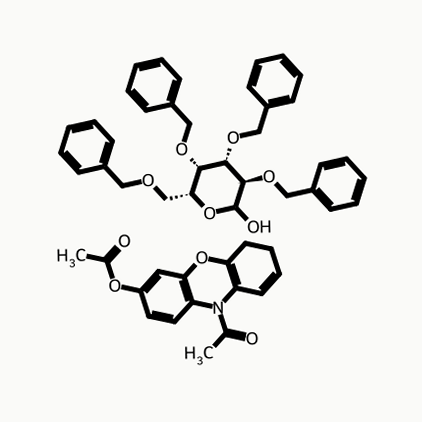 CC(=O)Oc1ccc2c(c1)OC1=C(C=CCC1)N2C(C)=O.OC1O[C@H](COCc2ccccc2)[C@H](OCc2ccccc2)[C@H](OCc2ccccc2)[C@H]1OCc1ccccc1